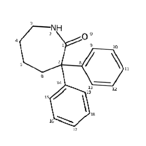 O=C1NCCCCC1(c1ccccc1)c1ccccc1